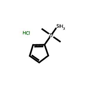 Cl.[CH3][Zr]([CH3])([SiH3])[C]1=CC=CC1